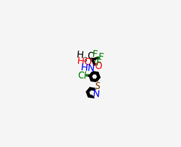 C[C@@](O)(C(=O)Nc1ccc(Sc2ccccn2)cc1Cl)C(F)(F)F